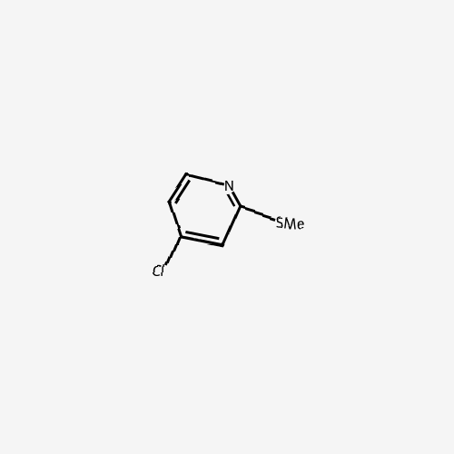 CSc1cc(Cl)ccn1